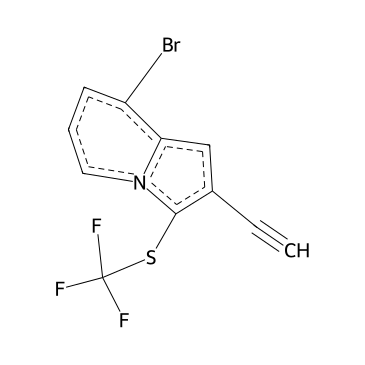 C#Cc1cc2c(Br)cccn2c1SC(F)(F)F